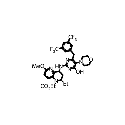 CCOC(=O)N1c2ccc(OC)nc2[C@@H](Nc2nc(O)c(N3CCOCC3)c(Cc3cc(C(F)(F)F)cc(C(F)(F)F)c3)n2)C[C@H]1CC